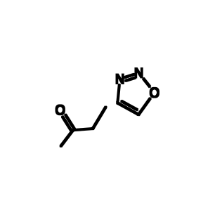 CCC(C)=O.c1conn1